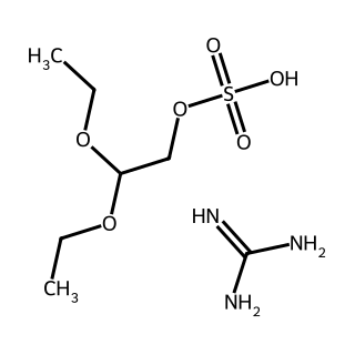 CCOC(COS(=O)(=O)O)OCC.N=C(N)N